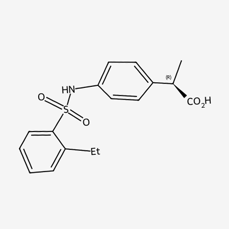 CCc1ccccc1S(=O)(=O)Nc1ccc([C@@H](C)C(=O)O)cc1